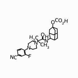 CC(C)(C(=O)NC1C2CC3CC1CC(OC(=O)O)(C3)C2)N1CCN(c2ccc(C#N)cc2F)CC1